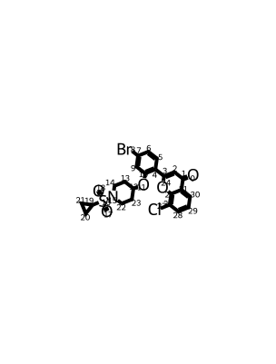 O=c1cc(-c2ccc(Br)cc2OC2CCN(S(=O)(=O)C3CC3)CC2)oc2c(Cl)cccc12